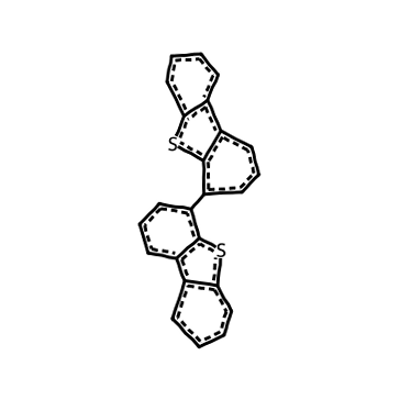 c1ccc2c(c1)sc1c(-c3cccc4c3sc3ccccc34)cccc12